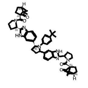 CC(C)(C)c1ccc(N2C(c3ccc4nc(C5CCCN5C(=O)[C@]56CC[C@H](CC5=O)C6(C)C)[nH]c4c3)CC[C@@H]2c2ccc3nc([C@@H]4CCCN4C(=O)[C@]45CC[C@H](CC4=O)C5(C)C)[nH]c3c2)cc1